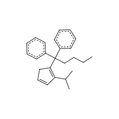 CCCCC(C1=C(C(C)C)C=CC1)(c1ccccc1)c1ccccc1